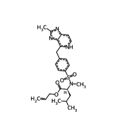 C=CCOC(=O)[C@H](CC(C)C)N(C)S(=O)(=O)c1ccc(Cc2[nH]ccc3nc(C)nc2-3)cc1